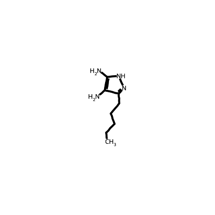 CCCCCc1n[nH]c(N)c1N